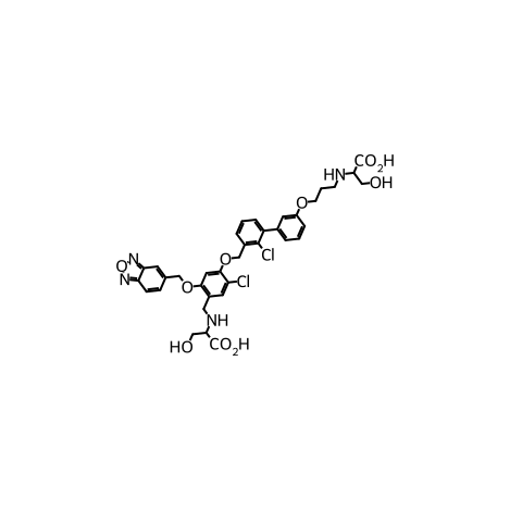 O=C(O)C(CO)NCCCOc1cccc(-c2cccc(COc3cc(OCc4ccc5nonc5c4)c(CNC(CO)C(=O)O)cc3Cl)c2Cl)c1